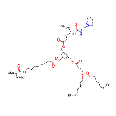 CC/C=C\CCCCOC(CCC(=O)OCc1cc(COC(=O)CCCCCCCOC(=O)C(CCCC)CCCCCC)cc(COC(=O)CCC(CCCCCC)OC(=O)NCCN2CCCC2)c1)OCCCC/C=C\CC